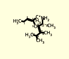 CC/C=C(/C)O/C(=C(/C)C(C)C)[C@@H](C)N